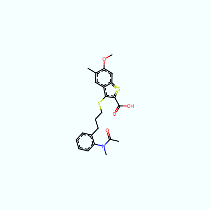 COc1cc2sc(C(=O)O)c(SCCCc3ccccc3N(C)C(C)=O)c2cc1C